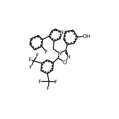 Oc1cccc(C2=NOC(c3cc(C(F)(F)F)cc(C(F)(F)F)c3)N2Cc2cnccc2-c2ccccc2F)c1